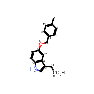 Cc1ccc(COc2ccc3[nH]cc(CC(=O)O)c3c2)cc1